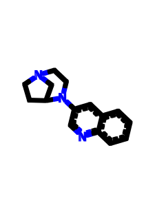 c1ccc2ncc(N3CCN4CCC3C4)cc2c1